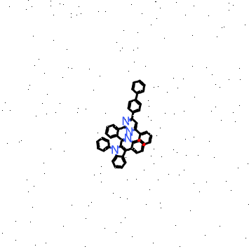 c1ccc(-c2ccc(-c3cc(-c4ccccc4)nc(-c4ccccc4-c4nc5ccccc5c5c6ccccc6n(-c6ccccc6)c45)n3)cc2)cc1